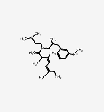 C=C(C(C)/C(C)=C\C=C(\C)CC)N(CCN(C)C)CC(C)Cc1cccc(NC)c1